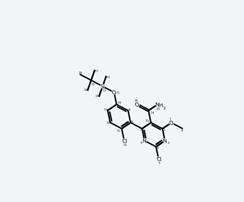 COc1nc(Cl)nc(-c2cc(O[Si](C)(C)C(C)(C)C)ccc2Cl)c1C(N)=O